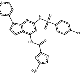 O=C(Nc1nc(NS(=O)(=O)c2ccc(Cl)cc2)nc2c1cnn2-c1ccccc1)c1ccc([N+](=O)[O-])s1